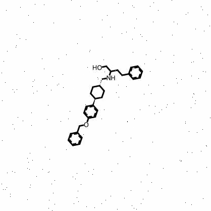 OCC(CCc1ccccc1)NC[C@H]1CC[C@H](c2ccc(OCc3ccccc3)cc2)CC1